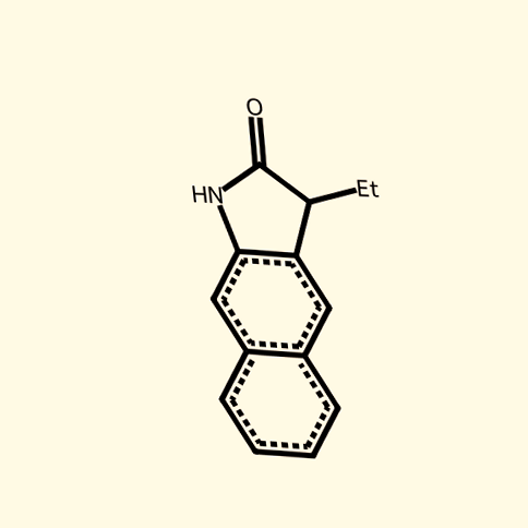 CCC1C(=O)Nc2cc3ccccc3cc21